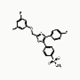 CS(=O)(=O)c1ccc(-c2sc(COc3cc(F)cc(F)c3)nc2-c2ccc(F)cc2)cc1